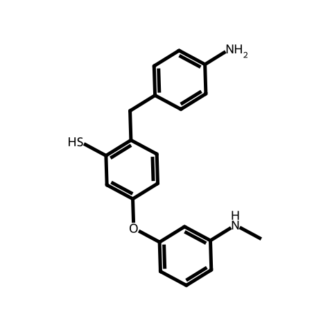 CNc1cccc(Oc2ccc(Cc3ccc(N)cc3)c(S)c2)c1